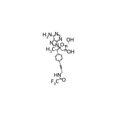 CC(c1ccc(C#CCNC(=O)C(F)(F)F)cc1)[C@]1(n2cnc3c(N)ncnc32)C[C@H](O)[C@@H](CO)O1